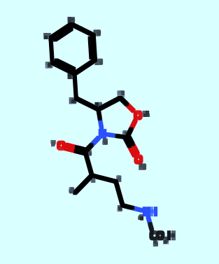 CC(CCNC(=O)O)C(=O)N1C(=O)OCC1Cc1ccccc1